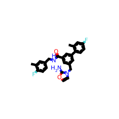 Cc1cc(CNC(=O)c2cc(CN3C=COC3N)cc(-c3ccc(F)cc3C)c2)ccc1F